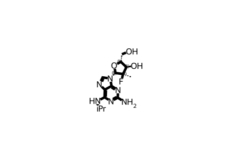 CC(C)Nc1nc(N)nc2c1ncn2[C@@H]1O[C@H](CO)[C@@H](O)[C@@]1(C)F